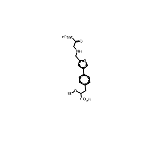 CCCCCC(=O)CNCc1cc(-c2ccc(CC(OCC)C(=O)O)cc2)cs1